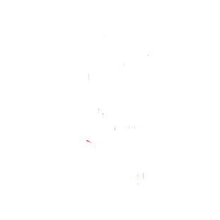 CC(C)(CO)[C@@H](O)C(=O)NCC(I)C(=O)O